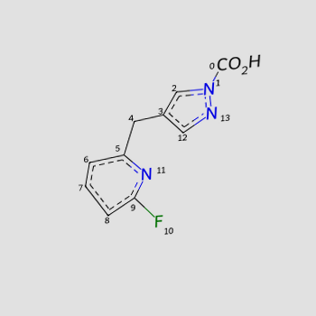 O=C(O)n1cc(Cc2cccc(F)n2)cn1